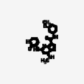 CNc1cc(Nc2ccc[nH]c2=O)nc2c(C(=O)N[C@@H]3CCC[C@@H](OC)C3)cnn12